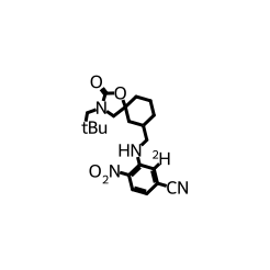 [2H]c1c(C#N)ccc([N+](=O)[O-])c1NCC1CCCC2(C1)CN(CC(C)(C)C)C(=O)O2